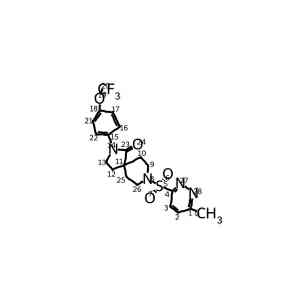 Cc1ccc(S(=O)(=O)N2CCC3(CCN(c4ccc(OC(F)(F)F)cc4)C3=O)CC2)nn1